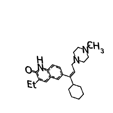 CCc1cc2cc(/C(=C\CN3CCN(C)CC3)C3CCCCC3)ccc2[nH]c1=O